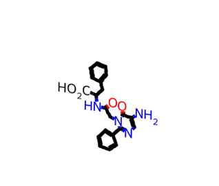 Nc1cnc(-c2ccccc2)n(CC(=O)NC(Cc2ccccc2)C(=O)O)c1=O